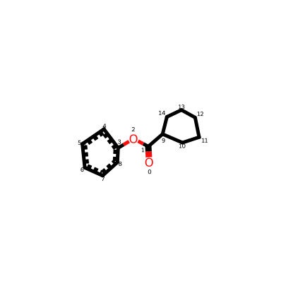 O=C(Oc1ccccc1)C1CCCCC1